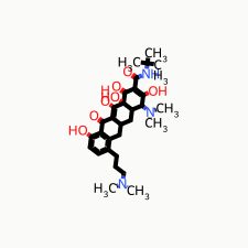 CN(C)CCCc1ccc(O)c2c1CC1CC3C(N(C)C)C(O)=C(C(=O)NC(C)(C)C)C(=O)C3(O)C(O)=C1C2=O